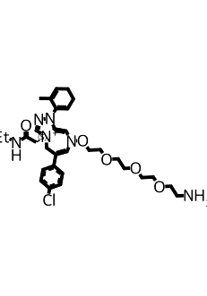 CCNC(=O)C[N@+]12C=NN(C3=CCCC=C3C)C1=CN(OCCOCCOCCOCCN)C=C(c1ccc(Cl)cc1)C2